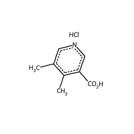 Cc1cncc(C(=O)O)c1C.Cl